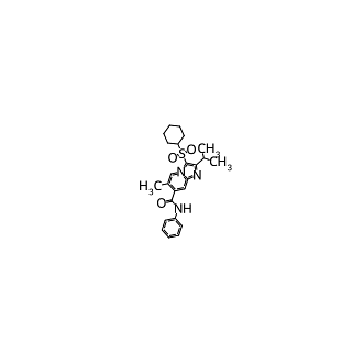 Cc1cn2c(S(=O)(=O)C3CCCCC3)c(C(C)C)nc2cc1C(=O)Nc1ccccc1